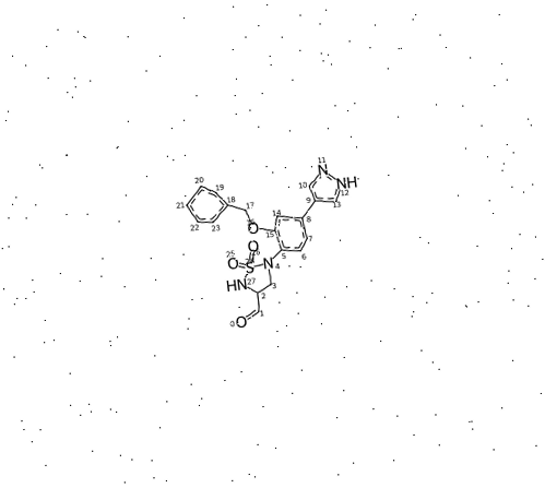 O=CC1CN(c2ccc(-c3cn[nH]c3)cc2OCc2ccccc2)S(=O)(=O)N1